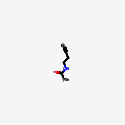 C#CCCNC(=O)OC